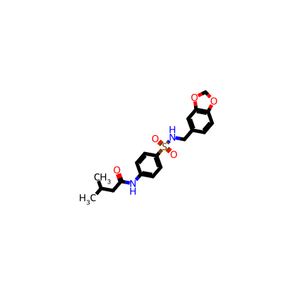 CC(C)CC(=O)Nc1ccc(S(=O)(=O)NCc2ccc3c(c2)OCO3)cc1